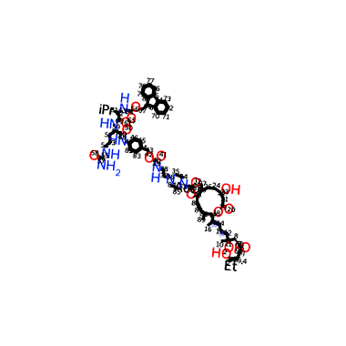 CC[C@H](O)[C@@H](C)[C@H]1O[C@@H]1CC(C)(O)/C=C/C=C(\C)C1OC(=O)CC(O)CCC(C)(OC(C)=O)C(OC(=O)N2CCN(CCNC(=O)OCc3ccc(NC(=O)C(CCCNC(N)=O)NC(=O)C(NC(=O)OCC4c5ccccc5-c5ccccc54)C(C)C)cc3)CC2)C=CC1C